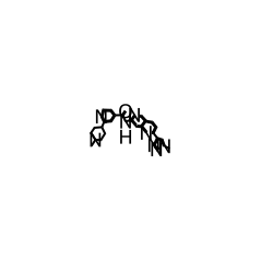 CN1CCC(c2cc(C(=O)Nc3cc4nc(-c5cn(C)nn5)ccc4cn3)ccn2)CC1